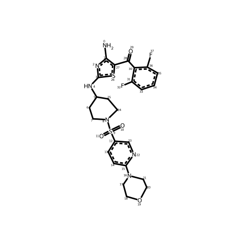 Nc1nc(NC2CCN(S(=O)(=O)c3ccc(N4CCOCC4)nc3)CC2)sc1C(=O)c1c(F)cccc1F